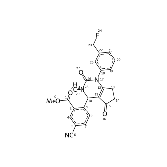 COC(=O)c1cc(C#N)ccc1C1C2=C(CCC2=O)N(c2cccc(CF)c2)C(=O)N1C